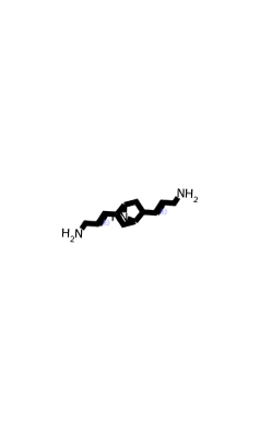 NC/C=C/C1CC2NC1CC2/C=C/CN